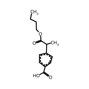 CCCCOC(=O)C(C)c1ccc(C(=O)O)cc1